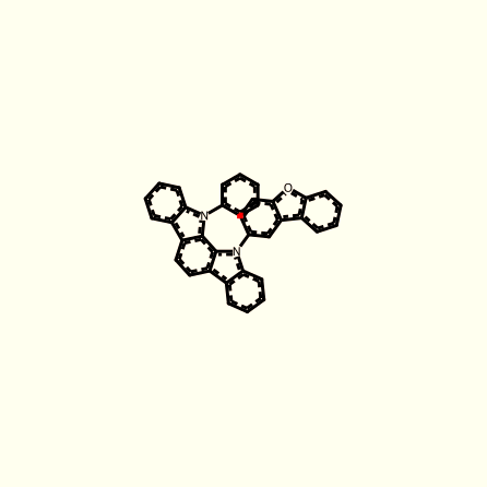 c1ccc(-n2c3ccccc3c3ccc4c5ccccc5n(-c5ccc6oc7ccccc7c6c5)c4c32)cc1